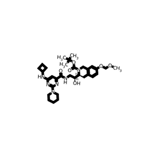 COCOc1ccc2c(c1)CN(C(=O)OC(C)(C)C)[C@H]([C@H](O)CNC(=O)c1cc(NC3CCC3)nc(N3CCCCC3)n1)C2